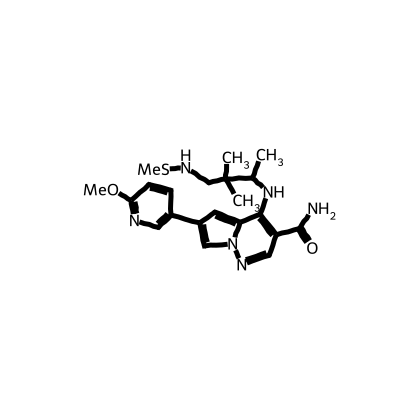 COc1ccc(-c2cc3c(NC(C)C(C)(C)CNSC)c(C(N)=O)cnn3c2)cn1